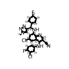 Cn1cc(C(Nc2cc(Cl)cc3c(Nc4ccc(F)c(Cl)c4)c(C#N)cnc23)c2ccc(F)cc2)nn1